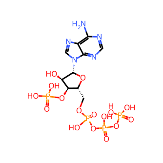 Nc1ncnc2c1ncn2[C@@H]1O[C@H](COP(=O)(O)OP(=O)(O)OP(=O)(O)O)[C@@H](OP(=O)(O)O)[C@H]1O